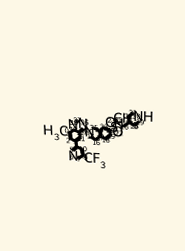 Cc1cc(-c2cncc(C(F)(F)F)c2)cc2c(N3CCc4ccc(S(=O)(=O)N(C)CC5CCNCC5)cc4C3)ncnc12